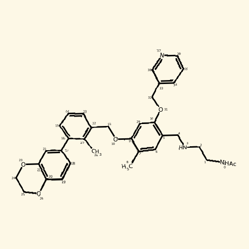 CC(=O)NCCNCc1cc(C)c(OCc2cccc(-c3ccc4c(c3)OCCO4)c2C)cc1OCc1cccnc1